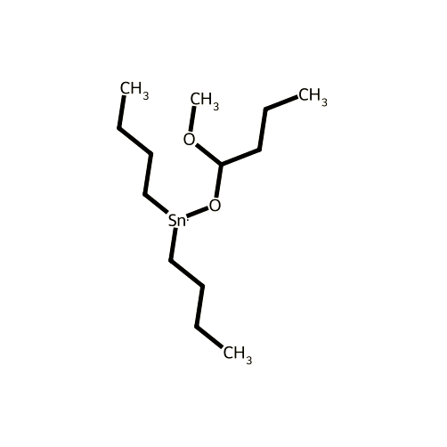 CCC[CH2][Sn]([CH2]CCC)[O]C(CCC)OC